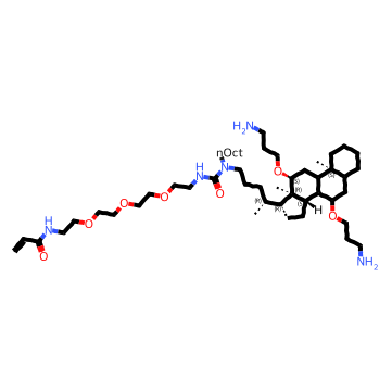 C=CC(=O)NCCOCCOCCOCCNC(=O)N(CCCCCCCC)CCC[C@@H](C)[C@H]1CC[C@H]2C3C(OCCCN)CC4CCCC[C@]4(C)C3C[C@H](OCCCN)[C@]12C